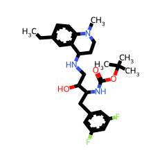 CCc1ccc2c(c1)C(NCC(O)C(Cc1cc(F)cc(F)c1)NC(=O)OC(C)(C)C)CCN2C